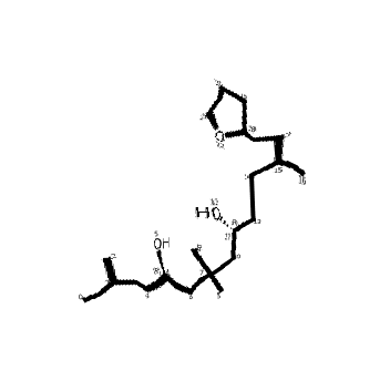 CC(C)C[C@@H](O)CC(C)(C)C[C@H](O)CCC(C)CC1CCCO1